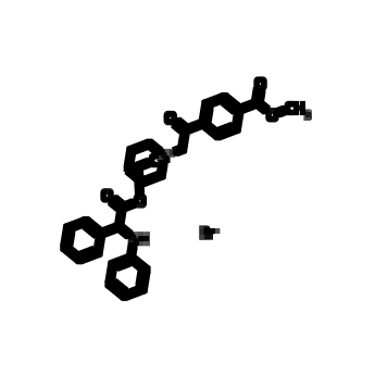 COC(=O)c1ccc(C(=O)C[N+]23CCC(CC2)C(OC(=O)C(Nc2ccccc2)c2ccccc2)C3)cc1.[Br-]